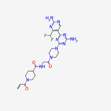 C=CC(=O)N1CCC(C(=O)NCC(=O)N2CCN(c3nc(N)nc(-c4cnc(N)nc4C(F)F)n3)CC2)CC1